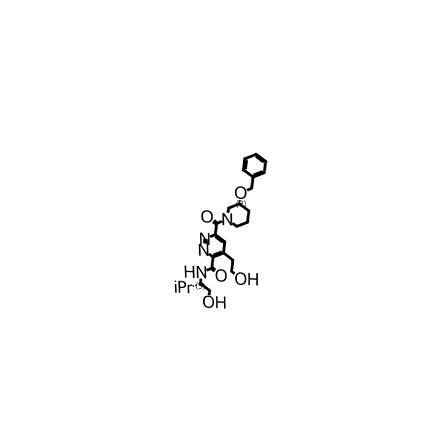 CC(C)[C@@H](CO)NC(=O)c1nnc(C(=O)N2CCC[C@@H](OCc3ccccc3)C2)cc1CCO